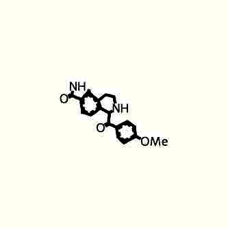 COc1ccc(C(=O)C2NCCc3cc(C(N)=O)ccc32)cc1